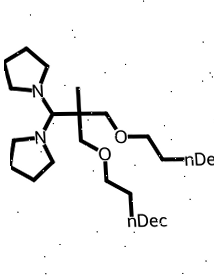 CCCCCCCCCCCCOCC(C)(COCCCCCCCCCCCC)C(N1CCCC1)N1CCCC1